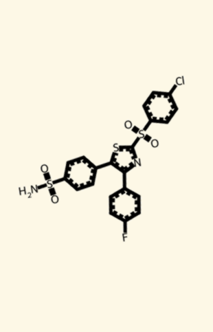 NS(=O)(=O)c1ccc(-c2sc(S(=O)(=O)c3ccc(Cl)cc3)nc2-c2ccc(F)cc2)cc1